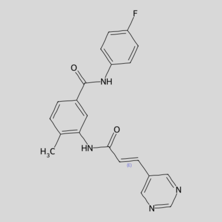 Cc1ccc(C(=O)Nc2ccc(F)cc2)cc1NC(=O)/C=C/c1cncnc1